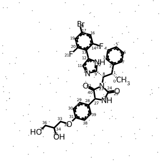 C[C@@H](c1ccccc1)[C@@H](c1ncc(-c2c(F)cc(Br)cc2F)[nH]1)N1C(=O)NC(c2ccc(OCC(O)CO)cc2)C1=O